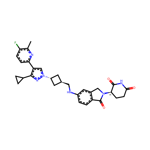 Cc1nc(-c2cn([C@H]3C[C@H](CNc4ccc5c(c4)CN([C@@H]4CCC(=O)NC4=O)C5=O)C3)nc2C2CC2)ccc1F